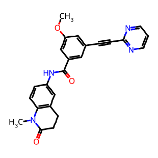 COc1cc(C#Cc2ncccn2)cc(C(=O)Nc2ccc3c(c2)CCC(=O)N3C)c1